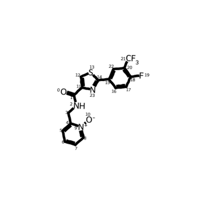 O=C(NCc1cccc[n+]1[O-])c1csc(-c2ccc(F)c(C(F)(F)F)c2)n1